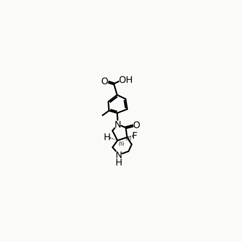 Cc1cc(C(=O)O)ccc1N1C[C@@H]2CNCC[C@]2(F)C1=O